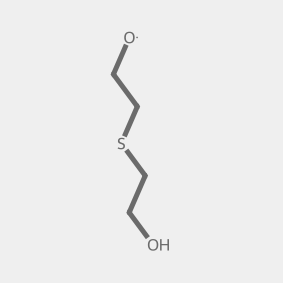 [O]CCSCCO